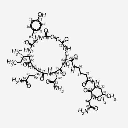 CC[C@H](C)[C@@H]1NC(=O)[C@H](Cc2ccc(O)cc2)NC(=O)CCC(=O)NC[C@@H](C(=O)NCCCC(=O)N[C@@H](CC(C)C)C(=O)NCC(N)=O)NC(=O)[C@H](CC(N)=O)NC(=O)[C@H](CCC(N)=O)NC1=O